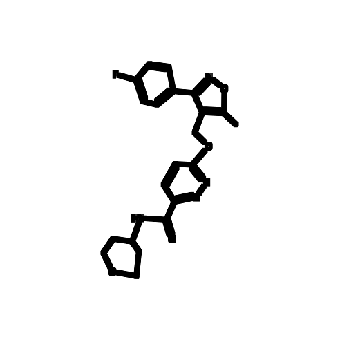 Cc1onc(-c2ccc(F)cc2)c1COc1ccc(C(=O)NC2CCOCC2)nn1